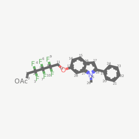 CC(=O)OCC(F)(F)C(F)(F)C(F)(F)COc1ccc2cc(-c3ccccc3)n(C)c2c1